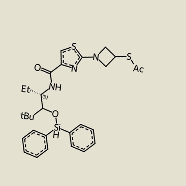 CC[C@H](NC(=O)c1csc(N2CC(SC(C)=O)C2)n1)C(O[SiH](c1ccccc1)c1ccccc1)C(C)(C)C